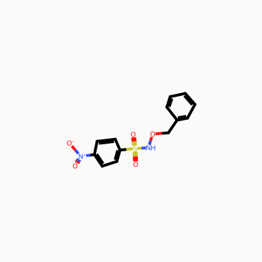 O=[N+]([O-])c1ccc(S(=O)(=O)NOCc2ccccc2)cc1